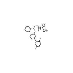 Cc1ccc(C)c(-c2cccc([C@@H]3CN(C(=O)O)CC[C@H]3c3ccccc3)c2)c1